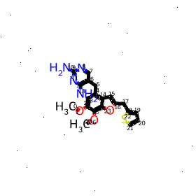 COc1cc(Cc2cnc(N)nc2N)c2cc(Cc3cccs3)oc2c1OC